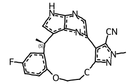 C[C@@H]1c2cc(F)ccc2OCCCc2nn(C)c(C#N)c2-c2cnc3[nH]cc1c3n2